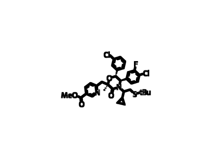 COC(=O)c1ccc(C[C@@]2(C)O[C@H](c3cccc(Cl)c3)[C@@H](c3ccc(Cl)c(F)c3)N(C(CSC(C)(C)C)C3CC3)C2=O)nc1